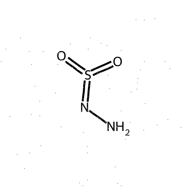 NN=S(=O)=O